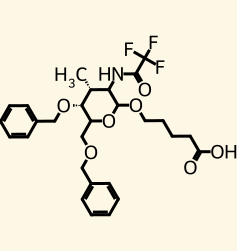 C[C@@H]1C(NC(=O)C(F)(F)F)C(OCCCCC(=O)O)OC(COCc2ccccc2)[C@@H]1OCc1ccccc1